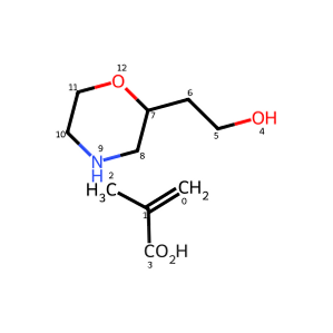 C=C(C)C(=O)O.OCCC1CNCCO1